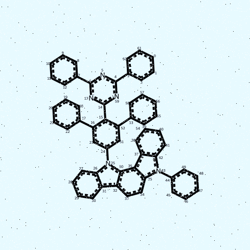 c1ccc(-c2nc(-c3ccccc3)nc(-c3c(-c4ccccc4)cc(-n4c5ccccc5c5ccc6c(c7ccccc7n6-c6ccccc6)c54)cc3-c3ccccc3)n2)cc1